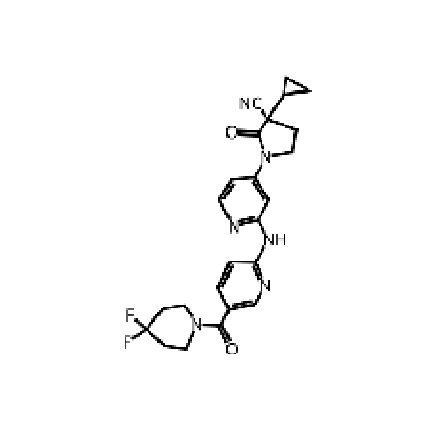 N#C[C@@]1(C2CC2)CCN(c2ccnc(Nc3ccc(C(=O)N4CCC(F)(F)CC4)cn3)c2)C1=O